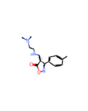 Cc1ccc(C2=NOC(=O)/C2=C\NCCN(C)C)cc1